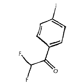 O=C(c1ccc(I)cc1)C(F)F